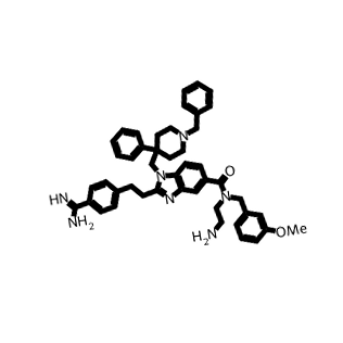 COc1cccc(CN(CCN)C(=O)c2ccc3c(c2)nc(CCc2ccc(C(=N)N)cc2)n3CC2(c3ccccc3)CCN(Cc3ccccc3)CC2)c1